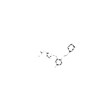 Cc1cc(NC(=O)OC(C)(C)C)nn1Cc1cc(Cl)ccc1OCc1ccccc1